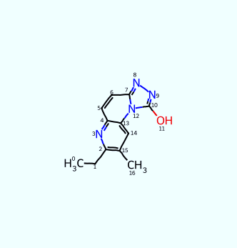 CCc1nc2ccc3nnc(O)n3c2cc1C